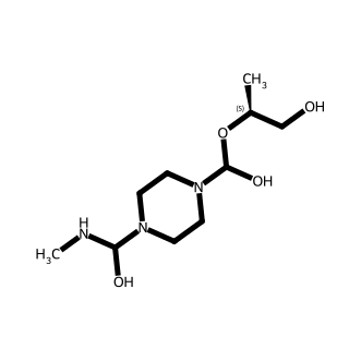 CNC(O)N1CCN(C(O)O[C@@H](C)CO)CC1